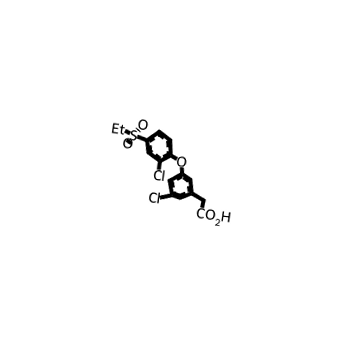 CCS(=O)(=O)c1ccc(Oc2cc(Cl)cc(CC(=O)O)c2)c(Cl)c1